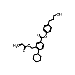 C=CC(=O)OCc1cc(C(=O)Oc2ccc(CCCO)cc2)ccc1C1CCCCC1